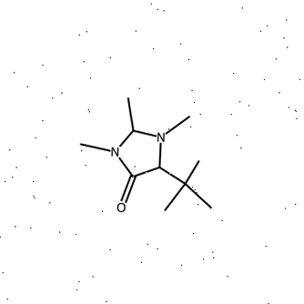 CC1N(C)C(=O)C(C(C)(C)C)N1C